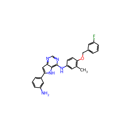 Cc1cc(Nc2ncnc3cc(-c4cccc(N)c4)[nH]c23)ccc1OCc1cccc(F)c1